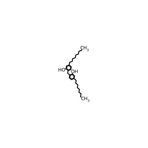 CCCCCCCCCc1ccc(Cc2ccc(CCCCCCCCC)cc2O)c(O)c1